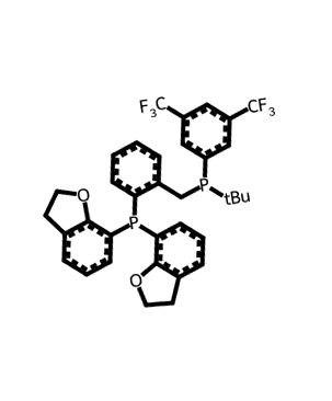 CC(C)(C)P(Cc1ccccc1P(c1cccc2c1OCC2)c1cccc2c1OCC2)c1cc(C(F)(F)F)cc(C(F)(F)F)c1